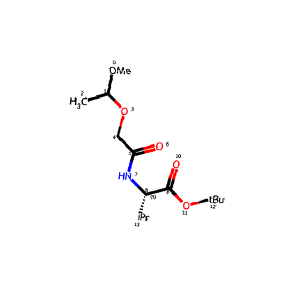 COC(C)OCC(=O)N[C@H](C(=O)OC(C)(C)C)C(C)C